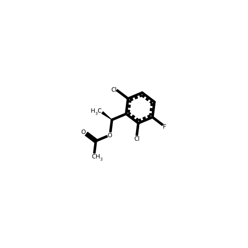 CC(=O)O[C@@H](C)c1c(Cl)ccc(F)c1Cl